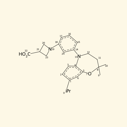 CC(C)c1ccc2c(c1)OC(C)(C)CCN2c1cccc(N2CC(C(=O)O)C2)c1